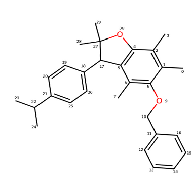 Cc1c(C)c2c(c(C)c1OCc1ccccc1)C(c1ccc(C(C)C)cc1)C(C)(C)O2